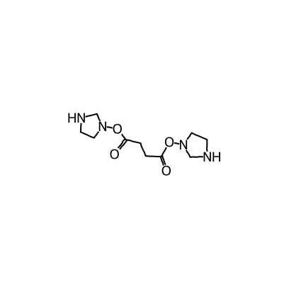 O=C(CCC(=O)ON1CCNC1)ON1CCNC1